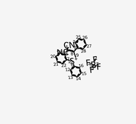 F[B-](F)(F)F.N#CC(C#N)=C(C[S+](c1ccccc1)c1ccccc1)c1ccccc1